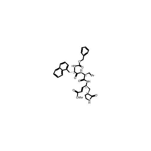 COC(=O)/C=C/[C@H](C[C@@H]1CCNC1=O)NC(=O)[C@H](CC(C)C)NC(=O)[C@H](Cc1cccc2ccccc12)NC(=O)OCc1ccccc1